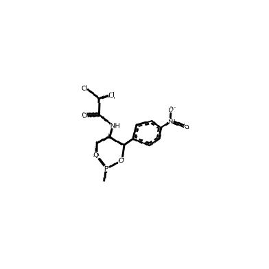 CP1OCC(NC(=O)C(Cl)Cl)C(c2ccc([N+](=O)[O-])cc2)O1